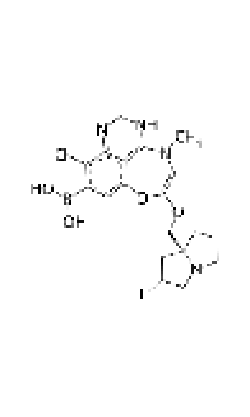 CN1C=C(OC[C@@]23CCCN2C[C@H](F)C3)Oc2cc(B(O)O)c(Cl)c3c2=C1NCN=3